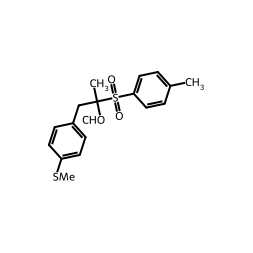 CSc1ccc(CC(C)(C=O)S(=O)(=O)c2ccc(C)cc2)cc1